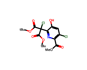 COC(=O)c1nc(C(Cl)(C(=O)OC(C)(C)C)C(=O)OC(C)(C)C)c(O)cc1Cl